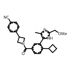 COCc1nc(C)c(-c2cc(C(=O)N3CC(c4ccc(C#N)cc4)C3)ccc2C2CCC2)[nH]1